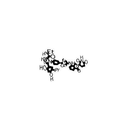 CCNC(=O)C1NN=C(c2cc(C(C)C)c(O)cc2O)N1c1ccc(C(=O)N(C)CC(=O)Nc2cccc3c2CN(C2CCC(=O)NC2=O)C3=O)cc1